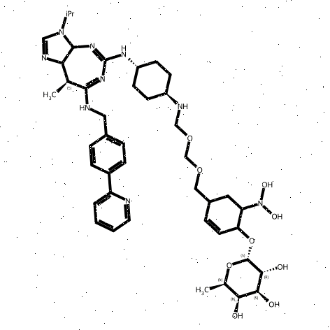 CC(C)N1C=NC2C1N=C(N[C@H]1CC[C@H](NCOCOCC3C=CC(O[C@H]4O[C@H](C)[C@H](O)[C@H](O)[C@H]4O)C(N(O)O)C3)CC1)N=C(NCc1ccc(-c3ccccn3)cc1)[C@H]2C